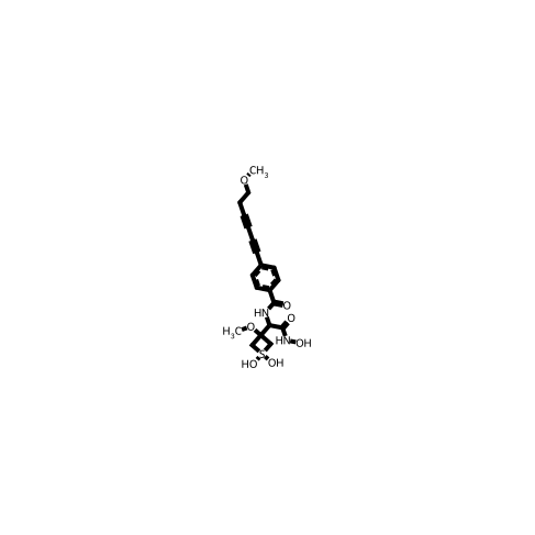 COCCC#CC#Cc1ccc(C(=O)NC(C(=O)NO)C2(OC)CS(O)(O)C2)cc1